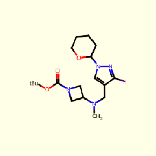 CN(Cc1cn(C2CCCCO2)nc1I)C1CN(C(=O)OC(C)(C)C)C1